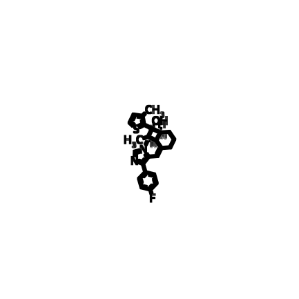 Cc1ccsc1[C@]1(O)C(C)[C@]23Cn4cnc(-c5ccc(F)cc5)c4C=C2CCC[C@@H]31